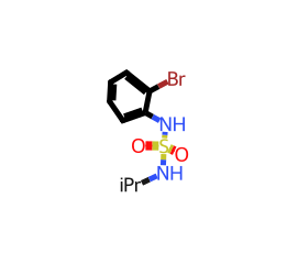 CC(C)NS(=O)(=O)Nc1ccccc1Br